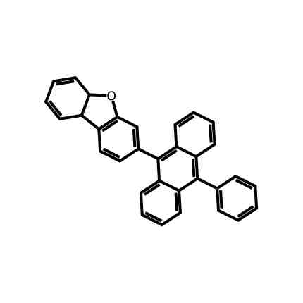 C1=CC2Oc3cc(-c4c5ccccc5c(-c5ccccc5)c5ccccc45)ccc3C2C=C1